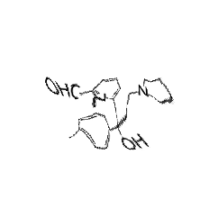 Cc1ccc(C(O)(CCN2CCCC2)c2cccc(C=O)n2)cc1